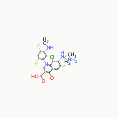 CN.CNc1cc(-n2cc(C(=O)O)c(=O)c3cc(F)c(NC)c(Cl)c32)c(F)cc1F